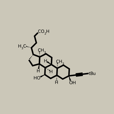 C[C@H](CCC(=O)O)[C@H]1CC[C@H]2[C@@H]3[C@H](O)C[C@@H]4C[C@@](O)(C#CC(C)(C)C)CC[C@]4(C)[C@H]3CC[C@]12C